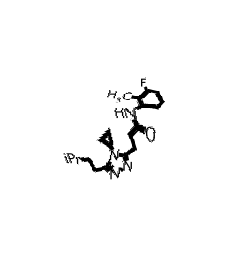 Cc1c(F)cccc1NC(=O)CCc1nnc(CCC(C)C)n1C1CC1